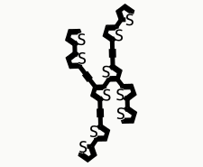 C(#Cc1cc(C#Cc2ccc(-c3cccs3)s2)c(-c2sc(C#Cc3ccc(-c4cccs4)s3)cc2-c2ccc(-c3cccs3)s2)s1)c1ccc(-c2cccs2)s1